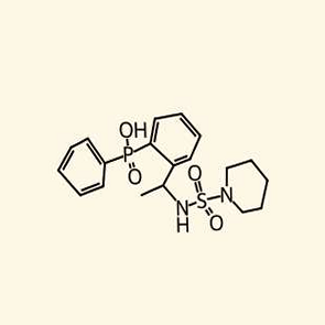 CC(NS(=O)(=O)N1CCCCC1)c1ccccc1P(=O)(O)c1ccccc1